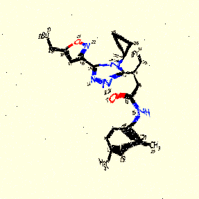 Cc1ccc(NC(=O)C[C@H](CC(C)C)c2nnc(-c3cc(CC(C)(C)C)on3)n2C2CC2)c(C)c1